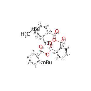 CC(C)(C)C.CCCCc1ccccc1C(=O)OC(=O)c1ccccc1C(=O)OC(=O)c1ccccc1CCCC